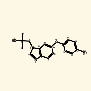 CC(C)(O)Cn1cnc2ccc(Oc3ccc(C(F)(F)F)cn3)cc21